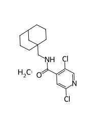 O=C(NCC12CCCC(CCC1)C2)c1cc(Cl)ncc1Cl.[CH2]